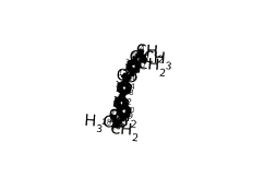 C=C(C)C(=C)Oc1ccc(OC(=O)c2ccc(-c3ccc4cc(OC(=C)C(=C)C)ccc4c3)cc2)cc1